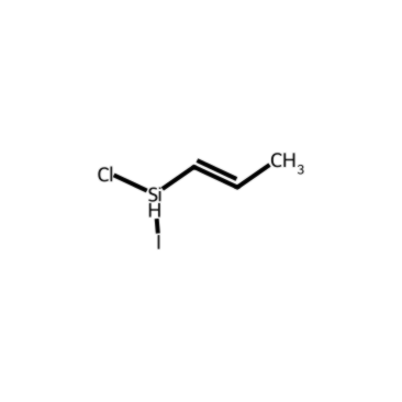 CC=C[SiH](Cl)I